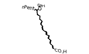 CCCCCC(CCC/C=C/C=C/C=C/C=C/C=C/C=C/C(=O)O)OO